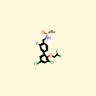 CC(C)(C)[S+]([O-])NCc1ccc(-c2cc(Cl)cc(Cl)c2OCC(F)F)cc1F